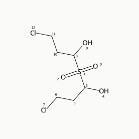 O=S(=O)(C(O)CCCl)C(O)CCCl